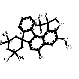 COc1cc2c(O)cc3c(c2c2c1OCC2(C)C(F)(F)F)-c1ccccc1C31CC(C)(C)CC(C)(C)C1